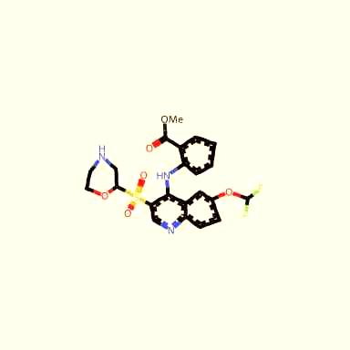 COC(=O)c1ccccc1Nc1c(S(=O)(=O)C2CNCCO2)cnc2ccc(OC(F)F)cc12